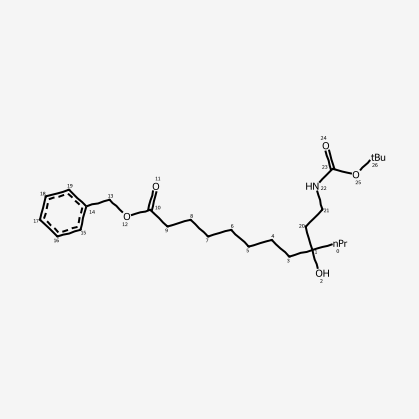 CCCC(O)(CCCCCCCC(=O)OCc1ccccc1)CCNC(=O)OC(C)(C)C